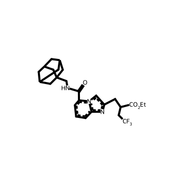 CCOC(=O)C(Cc1cn2c(C(=O)NCC34CC5CC(CC(C5)C3)C4)cccc2n1)CC(F)(F)F